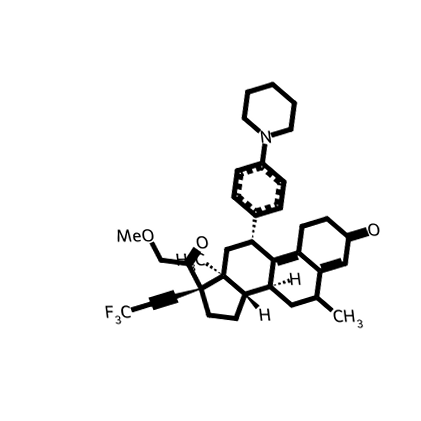 COCC(=O)[C@@]1(C#CC(F)(F)F)CC[C@H]2[C@@H]3CC(C)C4=CC(=O)CCC4=C3[C@@H](c3ccc(N4CCCCC4)cc3)C[C@@]21C